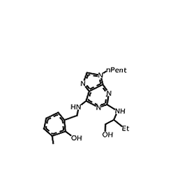 CCCCCn1cnc2c(NCc3cccc(C)c3O)nc(NC(CC)CO)nc21